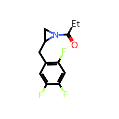 CCC(=O)N1CC1Cc1cc(F)c(F)cc1F